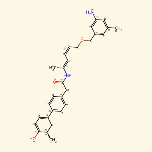 C/C(=C\C=C/COCc1cc(C)cc(N)c1)NC(=O)Cc1ccc(C2=CC=C(O)[C@H](C)C2)cc1